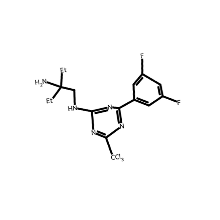 CCC(N)(CC)CNc1nc(-c2cc(F)cc(F)c2)nc(C(Cl)(Cl)Cl)n1